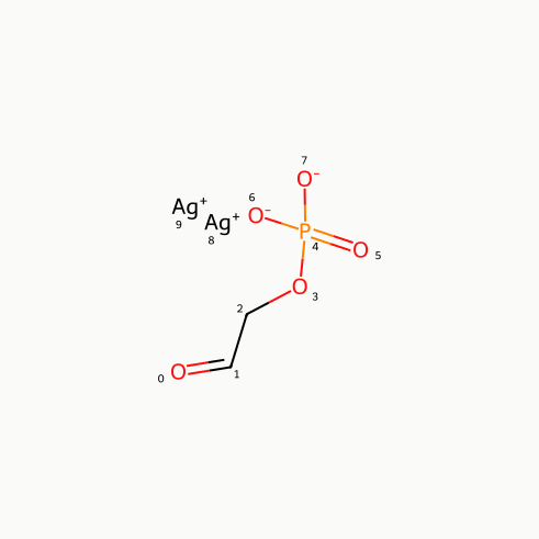 O=CCOP(=O)([O-])[O-].[Ag+].[Ag+]